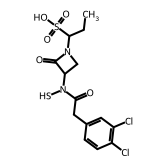 CCC(N1CC(N(S)C(=O)Cc2ccc(Cl)c(Cl)c2)C1=O)S(=O)(=O)O